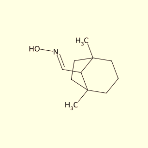 CC12CCCC(C)(CC1)C2C=NO